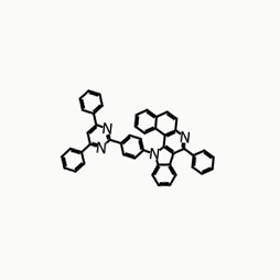 c1ccc(-c2cc(-c3ccccc3)nc(-c3ccc(-n4c5ccccc5c5c(-c6ccccc6)nc6ccc7ccccc7c6c54)cc3)n2)cc1